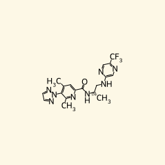 Cc1cc(C(=O)N[C@@H](C)CNc2cnc(C(F)(F)F)cn2)nc(C)c1-n1nccn1